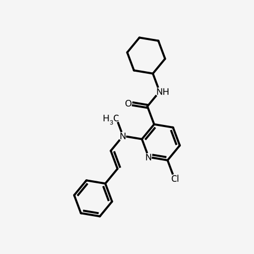 CN(C=Cc1ccccc1)c1nc(Cl)ccc1C(=O)NC1CCCCC1